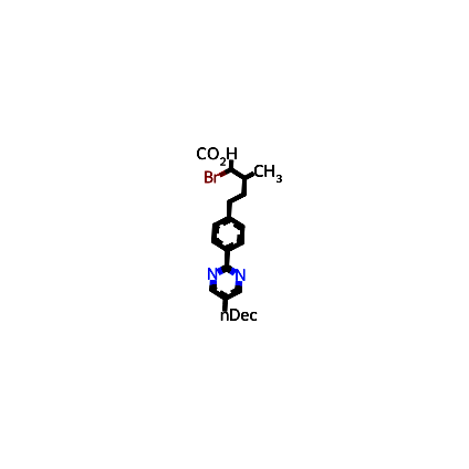 CCCCCCCCCCc1cnc(-c2ccc(CCC(C)C(Br)C(=O)O)cc2)nc1